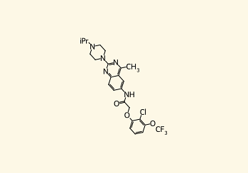 Cc1nc(N2CCN(C(C)C)CC2)nc2ccc(NC(=O)COc3cccc(OC(F)(F)F)c3Cl)cc12